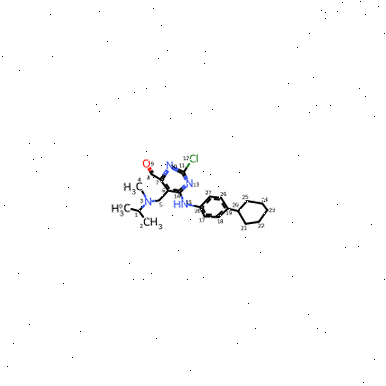 CC(C)N(C)Cc1c(C=O)nc(Cl)nc1Nc1ccc(C2CCCCC2)cc1